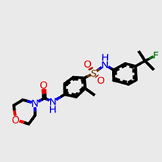 Cc1cc(NC(=O)N2CCOCC2)ccc1S(=O)(=O)Nc1cccc(C(C)(C)F)c1